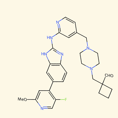 COc1cc(-c2ccc3nc(Nc4cc(CN5CCN(CC6(C=O)CCC6)CC5)ccn4)[nH]c3c2)c(F)cn1